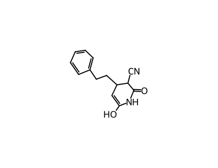 N#CC1C(=O)NC(O)=CC1CCc1ccccc1